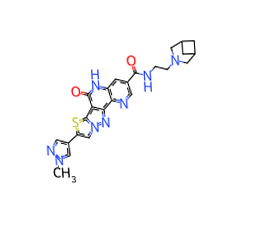 Cn1cc(-c2cn3nc4c5ncc(C(=O)NCCN6CC7CC(C7)C6)cc5[nH]c(=O)c4c3s2)cn1